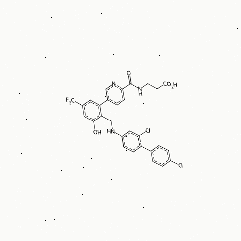 O=C(O)CCNC(=O)c1ccc(-c2cc(C(F)(F)F)cc(O)c2CNc2ccc(-c3ccc(Cl)cc3)c(Cl)c2)cn1